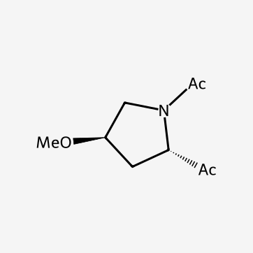 CO[C@@H]1C[C@@H](C(C)=O)N(C(C)=O)C1